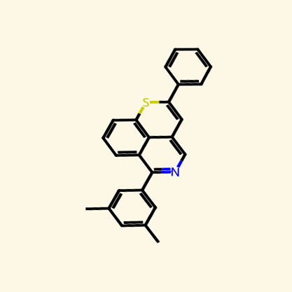 Cc1cc(C)cc(-c2ncc3c4c(cccc24)SC(c2ccccc2)=C3)c1